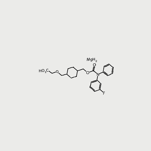 O=C(O)COCC1CCC(COC(=O)N(c2ccccc2)c2cccc(F)c2)CC1.[MgH2]